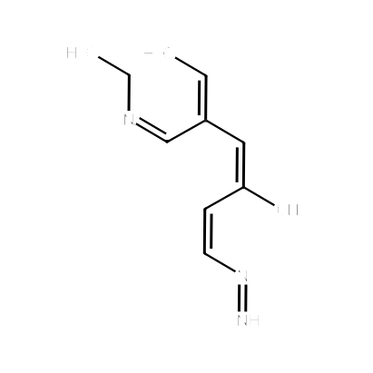 C/C=C(\C=N/CC)/C=C(C)\C=C/N=N